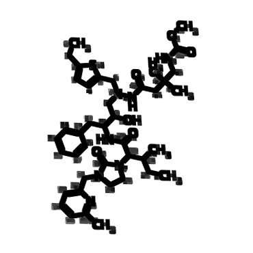 CCc1ccc(CN(CC(O)C(Cc2ccccc2)NC(=O)C(C(C)CC)N2CCN(Cc3cccc(C)n3)C2=O)NC(=O)CC(C)(C)CNC(=O)OC)s1